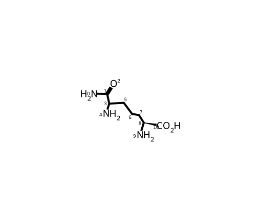 NC(=O)C(N)CCC[C@H](N)C(=O)O